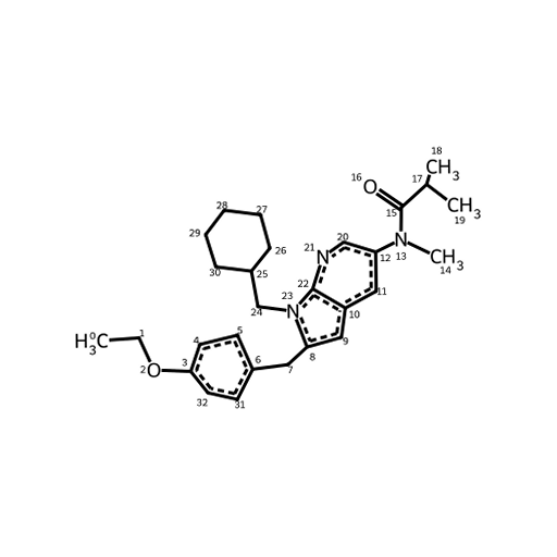 CCOc1ccc(Cc2cc3cc(N(C)C(=O)C(C)C)cnc3n2CC2CCCCC2)cc1